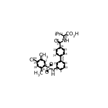 Cc1cc(S(=O)(=O)Nc2cccc(-c3ccc(C(=O)NC(C(=O)O)C(C)C)cc3)c2)c(C)cc1Cl